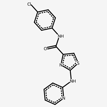 O=C(Nc1ccc(Cl)cc1)c1csc(Nc2ccccn2)n1